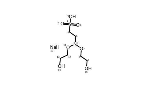 O=S(=O)(O)CCN(OCCO)OCCO.[NaH]